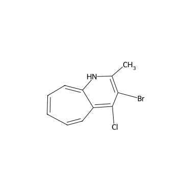 CC1=C(Br)C(Cl)=C2C=CC=CC=C2N1